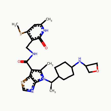 CSc1cc(C)[nH]c(=O)c1CNC(=O)c1c(C)n([C@H](C)C2CCC(NC3COC3)CC2)c2ncsc12